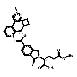 Cn1cc(-c2cccnc2[C@@H](NC(=O)c2ccc3c(c2)CN([C@@H](CCC(=O)OC(C)(C)C)C(N)=O)C3=O)C2CCC2)cn1